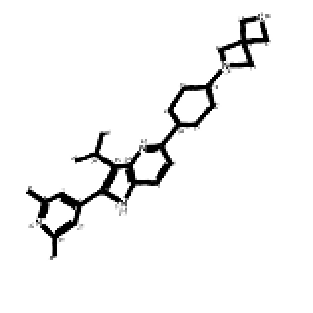 Cc1cc(-c2[nH]c3ccc(C4CCC(N5CC6(COC6)C5)CC4)nc3c2C(C)C)cc(C)n1